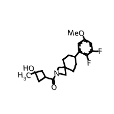 COc1cc(F)c(F)c(C2CCC3(CC2)CN(C(=O)C2CC(C)(O)C2)C3)c1